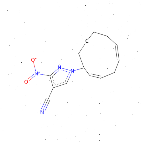 N#Cc1cn(C2C=CCC=CCCCC2)nc1[N+](=O)[O-]